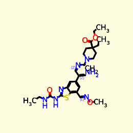 C=C(/N=C\C(=C/N)c1cc(/C=N/OC)c2sc(NC(=O)NCC)nc2c1)N1CCC(CC)(C(=O)OCC)CC1